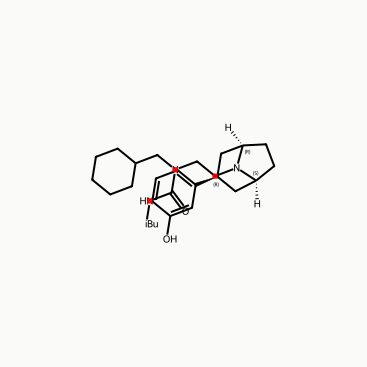 CCC(C)NC(=O)N(CCN1[C@@H]2CC[C@H]1C[C@@H](c1cccc(O)c1)C2)CC1CCCCC1